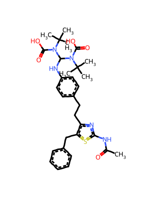 CC(=O)Nc1nc(CCc2ccc(NC(N(C(=O)O)C(C)(C)C)N(C(=O)O)C(C)(C)C)cc2)c(Cc2ccccc2)s1